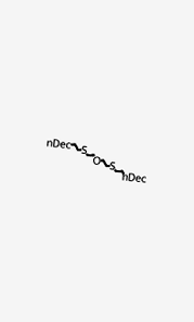 CCCCCCCCCCCCSCCOCCSCCCCCCCCCCCC